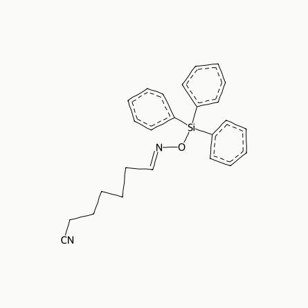 N#CCCCCCC=NO[Si](c1ccccc1)(c1ccccc1)c1ccccc1